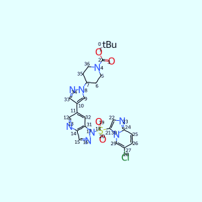 CC(C)(C)OC(=O)N1CCC(n2cc(-c3cnc4cnn(S(=O)(=O)c5cnc6ccc(Cl)cn56)c4c3)cn2)CC1